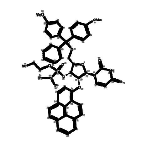 COc1ccc(C(OC[C@H]2O[C@@H](n3ccc(=O)[nH]c3=O)[C@H](Oc3ccc4ccc5cccc6ccc3c4c56)[C@@H]2OP(=O)(OCCC#N)N(C(C)C)C(C)C)(c2ccccc2)c2ccc(OC)cc2)cc1